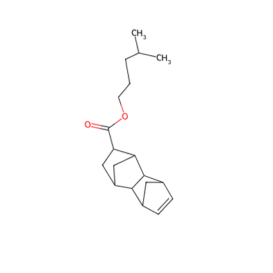 CC(C)CCCOC(=O)C1CC2CC1C1C3C=CC(C3)C21